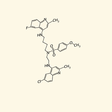 COc1ccc(S(=O)(=O)N(CCCCNc2cc(C)nc3ccc(F)cc23)CCNc2cc(C)nc3ccc(Cl)cc23)cc1